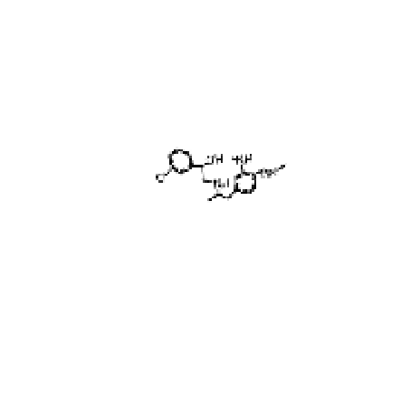 CNCc1ccc(CC(C)NCC(O)c2cccc(Cl)c2)cc1NC